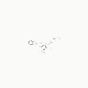 Cc1cnc(C[S+]([O-])c2nc3ccccc3[nH]2)c(C)c1OCC1COC(C)(C)OC1.[Na+].[OH-]